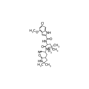 COc1cc(Cl)cc2[nH]c(C(=O)NC(CS(C)(C)C)C(=O)NC(C#N)CC3CC(C)(C)NC3=O)cc12